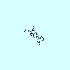 CC(C)=C(C)/C=C(\C)N(c1ccc(C)c(C)c1)c1ccc2ccc3c(N(c4ccc(C)c(C)c4)c4ccc(C)c(C)c4)ccc4ccc1c2c43